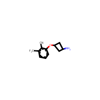 N#Cc1c(OC2CC(N)C2)cccc1C(F)(F)F